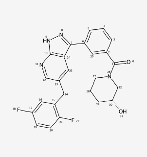 O=C(c1cccc(-c2n[nH]c3ncc(Cc4cc(F)ccc4F)cc23)c1)N1CCC[C@@H](O)C1